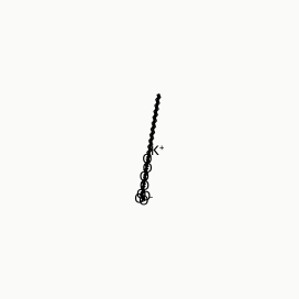 CCCCCCCCCCCCCCCCCCCCCCOCCOCCOCCOCCOS(=O)(=O)[O-].[K+]